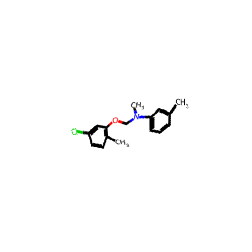 Cc1cccc(N(C)COc2cc(Cl)ccc2C)c1